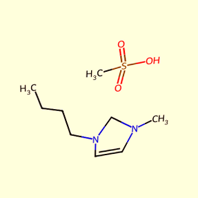 CCCCN1C=CN(C)C1.CS(=O)(=O)O